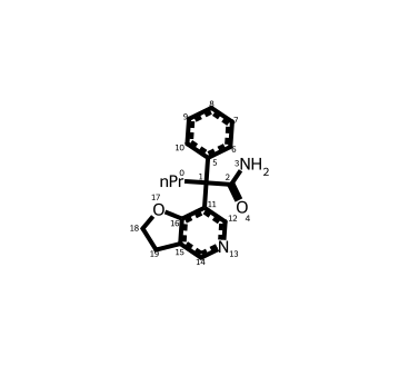 CCCC(C(N)=O)(c1ccccc1)c1cncc2c1OCC2